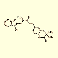 CN(Cc1oc2ccccc2c1Cl)C(=O)/C=C/c1cnc2c(c1)OC(C)(C)C(=O)N2